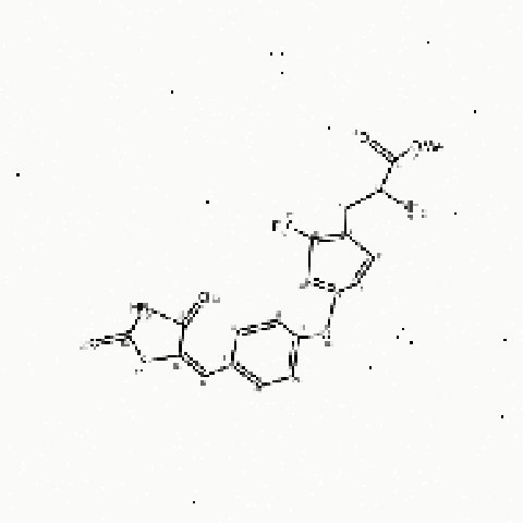 COC(=O)C(N)Cc1ccc(Oc2ccc(C=C3SC(=O)NC3=O)cc2)cc1C(F)(F)F